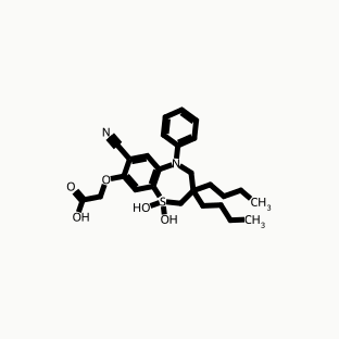 CCCCC1(CCCC)CN(c2ccccc2)c2cc(C#N)c(OCC(=O)O)cc2S(O)(O)C1